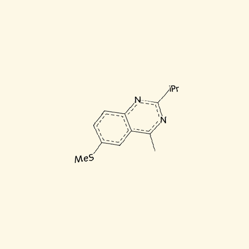 CSc1ccc2nc(C(C)C)nc(C)c2c1